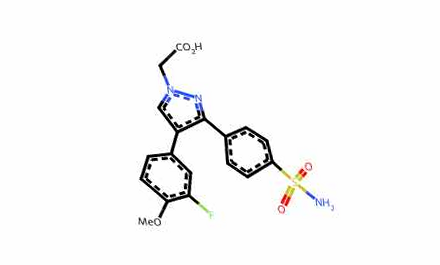 COc1ccc(-c2cn(CC(=O)O)nc2-c2ccc(S(N)(=O)=O)cc2)cc1F